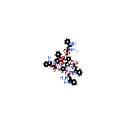 N[C@@H](Cc1c[nH]c2ccccc12)C(=O)OC[C@@H]1C[C@H](COC(=O)[C@@H](N)Cc2c[nH]c3ccccc23)[C@@H]([C@@H]2CC[C@H]([C@H]3[C@H](COC(=O)[C@@H](N)Cc4c[nH]c5ccccc45)C[C@H](COC(=O)[C@@H](N)Cc4c[nH]c5ccccc45)[C@@H]3COC(=O)c3ccccc3)C2)[C@@H]1COC(=O)c1ccccc1